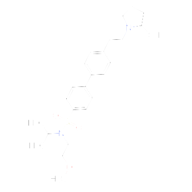 COCCN(C(C)C)S(=O)(=O)c1ccc(-c2ccc(CCN3CCCC3C)cc2)cc1